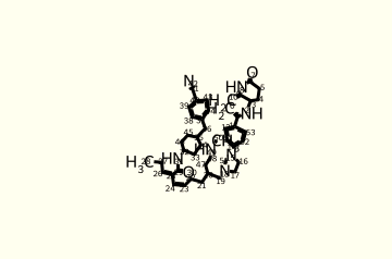 C=C(NC1CCC(=O)NC1=C)c1ccc(N2CCN(CC(CC/C=C\C(=C\CC)C(=O)NC3CCC(Cc4ccc(C#N)cc4)CC3)CCNC)C2)cc1